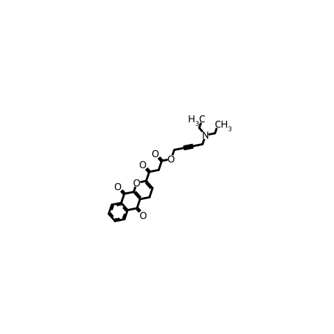 CCN(CC)CC#CCOC(=O)CC(=O)C1=CCC2=C(O1)C(=O)c1ccccc1C2=O